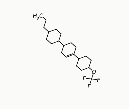 CCCC1CCC(C2CC=C(C3CCC(OC(F)(F)F)CC3)CC2)CC1